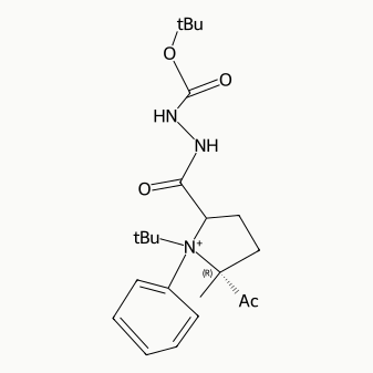 CC(=O)[C@@]1(C)CCC(C(=O)NNC(=O)OC(C)(C)C)[N+]1(c1ccccc1)C(C)(C)C